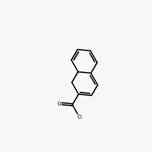 O=C(Cl)C1=CC=C2C=CC=CC2C1